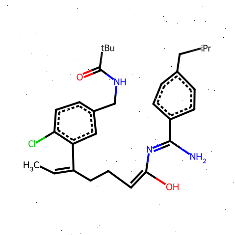 C/C=C(/CC/C=C(O)\N=C(/N)c1ccc(CC(C)C)cc1)c1cc(CNC(=O)C(C)(C)C)ccc1Cl